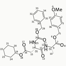 COc1ccc(COC(=O)[C@H](C)NC(=O)[C@H](CC(=O)OC2CCCCC2)NC(=O)OCc2ccccc2)cc1